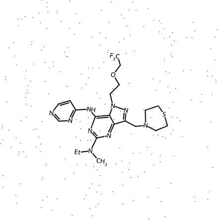 CCN(C)c1nc(Nc2ccncn2)c2c(n1)c(CN1CCSCC1)nn2CCOCC(F)(F)F